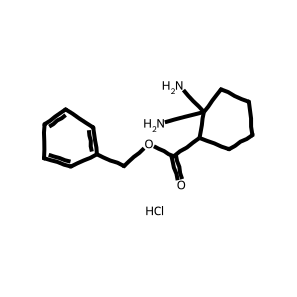 Cl.NC1(N)CCCCC1C(=O)OCc1ccccc1